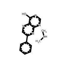 CNC.Oc1ncnc2nc(-c3ccccc3)cnc12